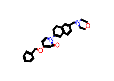 O=c1cc(OCc2ccccc2)ccn1C1=Cc2ccc(CN3CCOCC3)cc2CC1